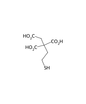 O=C(O)CC(CCS)(C(=O)O)C(=O)O